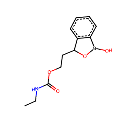 CCNC(=O)OCCC1OB(O)c2ccccc21